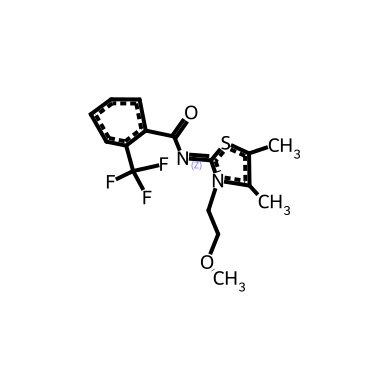 COCCn1c(C)c(C)s/c1=N\C(=O)c1ccccc1C(F)(F)F